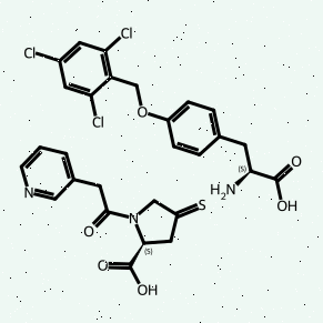 N[C@@H](Cc1ccc(OCc2c(Cl)cc(Cl)cc2Cl)cc1)C(=O)O.O=C(O)[C@@H]1CC(=S)CN1C(=O)Cc1cccnc1